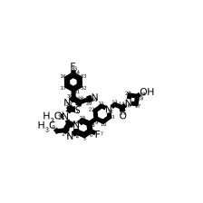 CCc1nc2cc(F)c(C3CCN(CC(=O)N4CC(O)C4)CC3)cn2c1N(C)c1nc(-c2ccc(F)cc2)c(C#N)s1